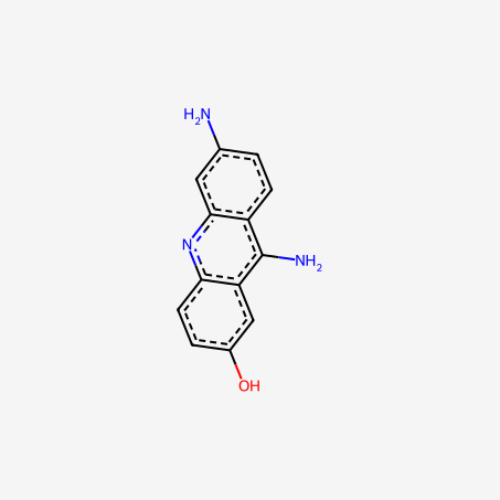 Nc1ccc2c(N)c3cc(O)ccc3nc2c1